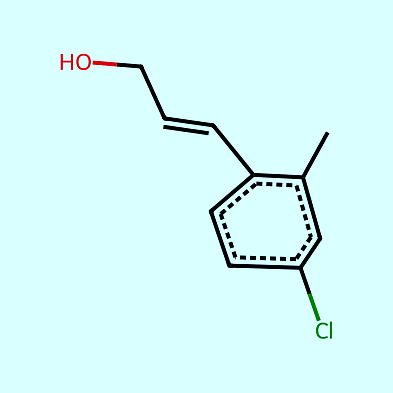 Cc1cc(Cl)ccc1C=CCO